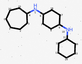 C1CCCC(NC2CCC(NC3CCCCC3)CC2)CC1